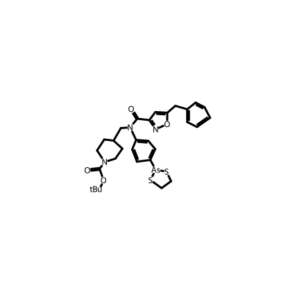 CC(C)(C)OC(=O)N1CCC(CN(C(=O)c2cc(Cc3ccccc3)on2)c2ccc([As]3SCCS3)cc2)CC1